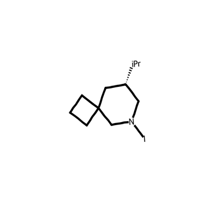 CC(C)[C@@H]1CN(I)CC2(CCC2)C1